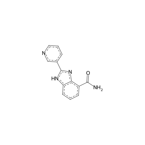 NC(=O)c1cccc2[nH]c(-c3cccnc3)nc12